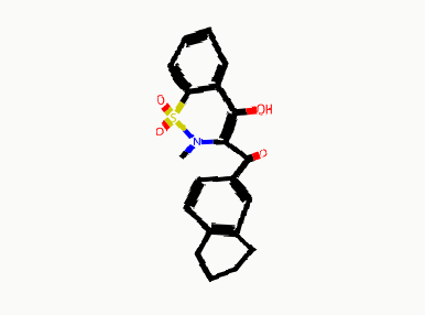 CN1C(C(=O)c2ccc3c(c2)CCCC3)=C(O)c2ccccc2S1(=O)=O